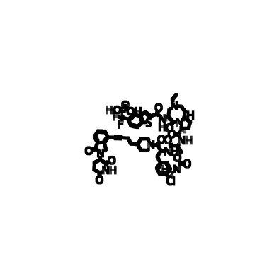 CCN1CC[C@H]2CC[C@@H](C(=O)NC(COC(N)=O)C(=O)NC(Cc3ccc(Cl)cc3)C(=O)N3CCC(CCC#Cc4cccc5c4CN(C4CCC(=O)NC4=O)C5=O)CC3)N2C(=O)[C@@H](NC(=O)c2cc3cc(C(F)(F)P(=O)(O)O)ccc3s2)C1